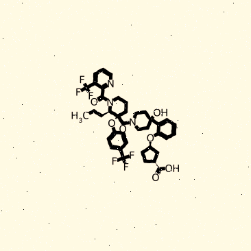 CCC[C@H]1N(C(=O)c2ncccc2C(F)(F)F)CCC[C@@]1(Oc1ccc(C(F)(F)F)cc1)C(=O)N1CCC(O)(c2ccccc2O[C@@H]2CC[C@@H](C(=O)O)C2)CC1